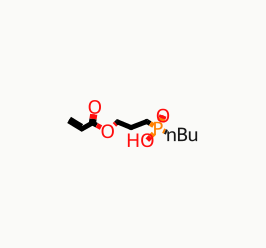 C=CC(=O)OCCCP(=O)(O)CCCC